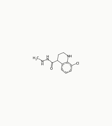 CNNC(=O)C1CCNc2c(Cl)cccc21